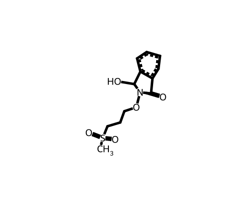 CS(=O)(=O)CCCON1C(=O)c2ccccc2C1O